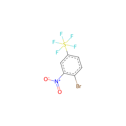 O=[N+]([O-])c1cc(S(F)(F)(F)(F)F)ccc1Br